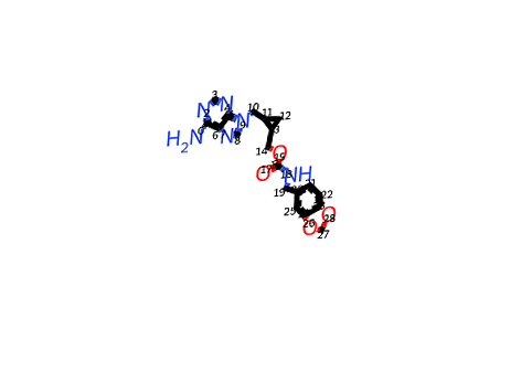 Nc1ncnc2c1ncn2CC1CC1COC(=O)NCc1ccc2c(c1)OCO2